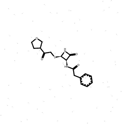 O=C(Cc1ccccc1)N[C@@H]1C(=O)N[C@@H]1SCC(=O)C1CCOC1